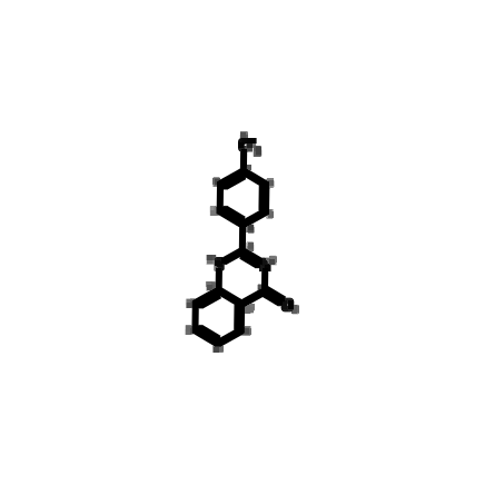 O=c1nc(-c2ccc(C(F)(F)F)cc2)sc2ccccc12